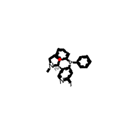 CN1CCC[C@H]1c1cnc(I)cc1P(c1ccccc1)c1ccccc1